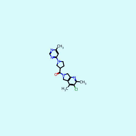 Cc1cc(N2CCC(C(=O)N3Cc4nc(C)c(Cl)c(C)c4C3)C2)ncn1